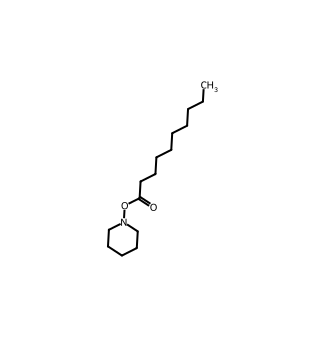 CCCCCCCCCC(=O)ON1CCCCC1